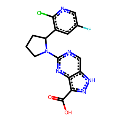 O=C(O)c1n[nH]c2cnc(N3CCCC3c3cc(F)cnc3Cl)nc12